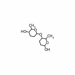 CC1OC(O[C@@H]2CCC(O)OC2C)CC[C@H]1O